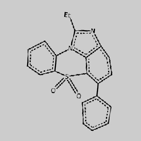 CCc1nc2ccc(-c3ccccc3)c3c2n1-c1ccccc1S3(=O)=O